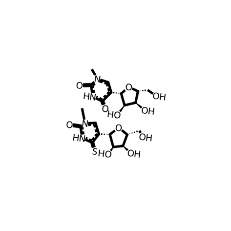 Cn1cc([C@@H]2O[C@H](CO)[C@@H](O)[C@H]2O)c(=O)[nH]c1=O.Cn1cc([C@@H]2O[C@H](CO)[C@@H](O)[C@H]2O)c(=S)[nH]c1=O